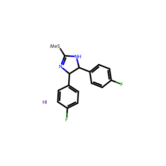 CSC1=NC(c2ccc(F)cc2)C(c2ccc(F)cc2)N1.I